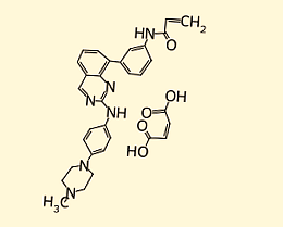 C=CC(=O)Nc1cccc(-c2cccc3cnc(Nc4ccc(N5CCN(C)CC5)cc4)nc23)c1.O=C(O)/C=C\C(=O)O